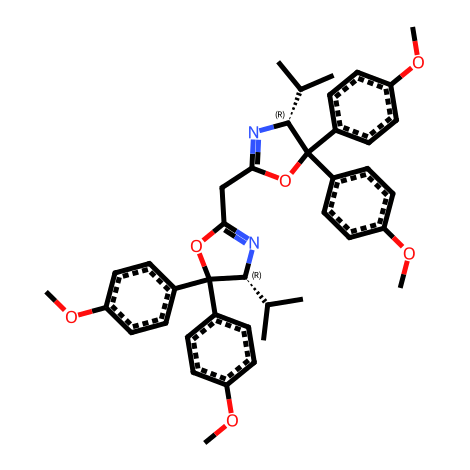 COc1ccc(C2(c3ccc(OC)cc3)OC(CC3=N[C@H](C(C)C)C(c4ccc(OC)cc4)(c4ccc(OC)cc4)O3)=N[C@@H]2C(C)C)cc1